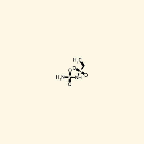 C=CS(=O)(=O)NS(N)(=O)=O